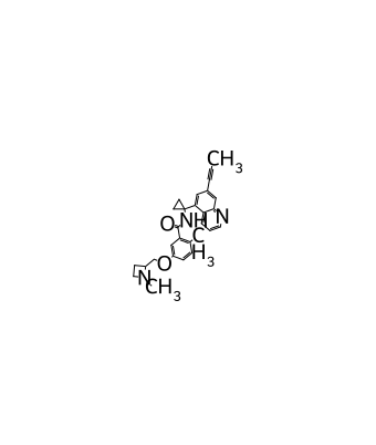 CC#Cc1cc(C2(NC(=O)c3cc(OCC4CCN4C)ccc3C)CC2)c2cccnc2c1